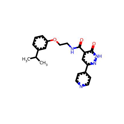 CC(C)c1cccc(OCCNC(=O)c2cc(-c3ccncc3)n[nH]c2=O)c1